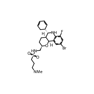 CNCCCS(=O)(=O)NC[C@H]1CC[C@@H]2[C@H](O1)c1cc(Br)cc(F)c1N[C@H]2C1C=CC=CC1